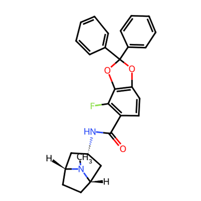 CN1[C@@H]2CC[C@H]1C[C@@H](NC(=O)c1ccc3c(c1F)OC(c1ccccc1)(c1ccccc1)O3)C2